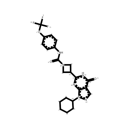 O=C(Nc1ccc(OC(F)(F)F)cc1)N1CC(c2nc3c(cnn3C3CCCCC3)c(=O)[nH]2)C1